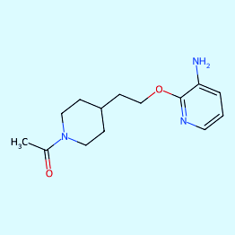 CC(=O)N1CCC(CCOc2ncccc2N)CC1